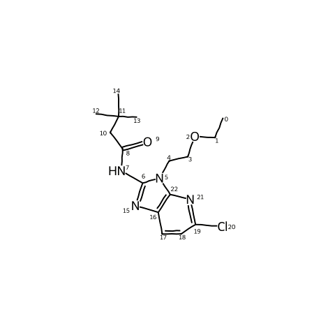 CCOCCn1c(NC(=O)CC(C)(C)C)nc2ccc(Cl)nc21